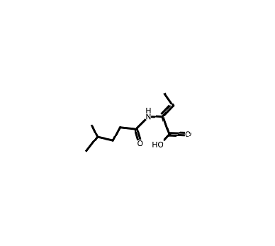 CC=C(NC(=O)CCC(C)C)C(=O)O